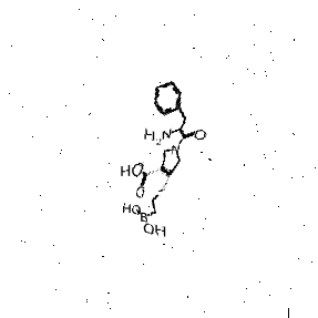 NC(Cc1ccccc1)C(=O)N1C[C@H](CCCB(O)O)[C@H](C(=O)O)C1